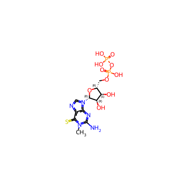 Cn1c(N)nc2c(ncn2[C@@H]2O[C@H](COP(=O)(O)OP(=O)(O)O)[C@@H](O)[C@H]2O)c1=S